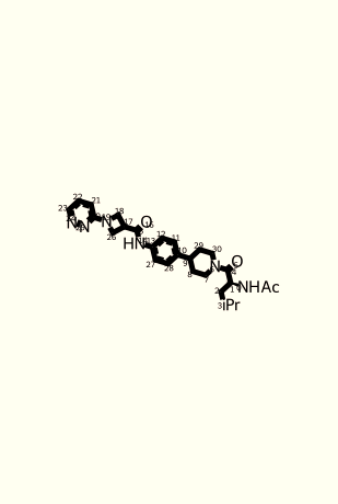 CC(=O)N[C@@H](CC(C)C)C(=O)N1CCC(c2ccc(NC(=O)C3CN(c4cccnn4)C3)cc2)CC1